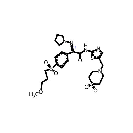 COCCCS(=O)(=O)c1ccc(/C(=N\N2CCCC2)C(=O)Nc2ncc(CN3CCS(=O)(=O)CC3)s2)cc1